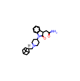 CC1(C)C2CC[C@@H](CN3CCC(N4C(=O)C(CC(N)=O)c5ccccc54)CC3)C1C2